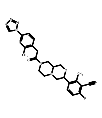 Cc1nc(-n2cnnn2)ccc1CC(=O)N1CCN2CC(c3ccc(F)c(C#N)c3C)OCC2C1